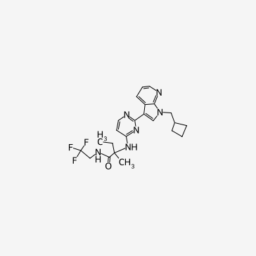 CCC(C)(Nc1ccnc(-c2cn(CC3CCC3)c3ncccc23)n1)C(=O)NCC(F)(F)F